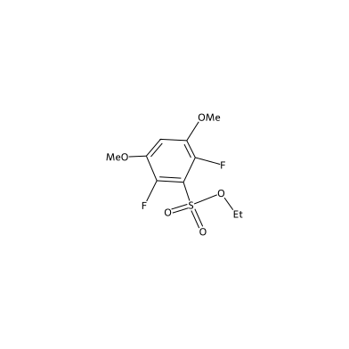 CCOS(=O)(=O)c1c(F)c(OC)cc(OC)c1F